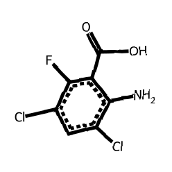 Nc1c(Cl)cc(Cl)c(F)c1C(=O)O